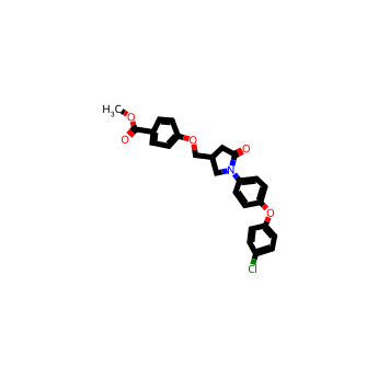 COC(=O)c1ccc(OCC2CC(=O)N(c3ccc(Oc4ccc(Cl)cc4)cc3)C2)cc1